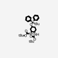 CC(C)(C)OC(=O)NC1CC(O[Si](c2ccccc2)(c2ccccc2)C(C)(C)C)CC[C@@H]1NC(=O)OC(C)(C)C